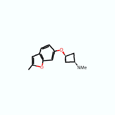 CN[C@H]1C[C@@H](Oc2ccc3cc(C)oc3c2)C1